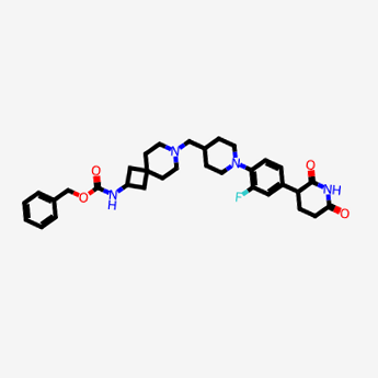 O=C1CCC(c2ccc(N3CCC(CN4CCC5(CC4)CC(NC(=O)OCc4ccccc4)C5)CC3)c(F)c2)C(=O)N1